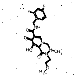 COCCN1C(=O)c2c(O)c(=O)c(C(=O)NCc3ccc(F)cc3F)cn2CN1C